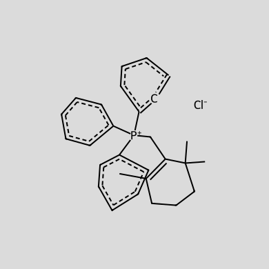 CC1=C(C[P+](c2ccccc2)(c2ccccc2)c2ccccc2)C(C)(C)CCC1.[Cl-]